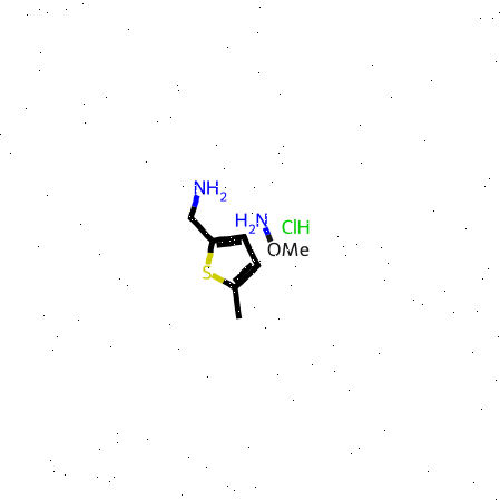 CON.Cc1ccc(CN)s1.Cl